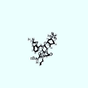 C=CCN(C(=O)NCCCC)N1CC(=O)N2[C@@H](Cc3ccc(NS(C)(=O)=O)cc3)C(=O)N(Cc3cccc4sc(N)nc34)C[C@@H]21